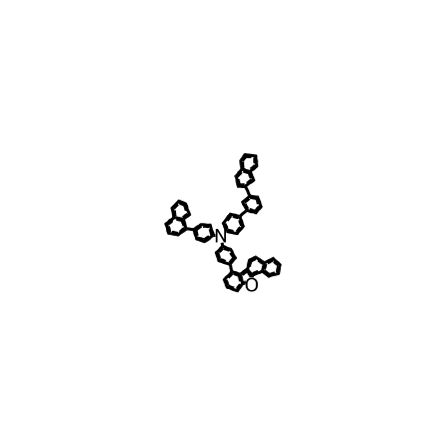 c1cc(-c2ccc(N(c3ccc(-c4cccc5ccccc45)cc3)c3ccc(-c4cccc5oc6c7ccccc7ccc6c45)cc3)cc2)cc(-c2ccc3ccccc3c2)c1